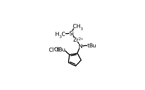 C[Si](C)[Zr+2][N](C1=C(C(C)(C)C)C=CC1)C(C)(C)C.[Cl-].[Cl-]